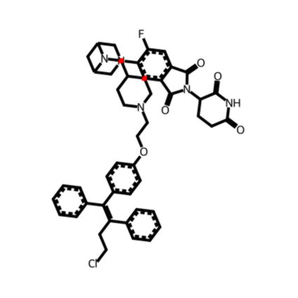 O=C1CCC(N2C(=O)c3cc(F)c(N4CC5CC(C4)N5CC4CCN(CCOc5ccc(C(=C(CCCl)c6ccccc6)c6ccccc6)cc5)CC4)cc3C2=O)C(=O)N1